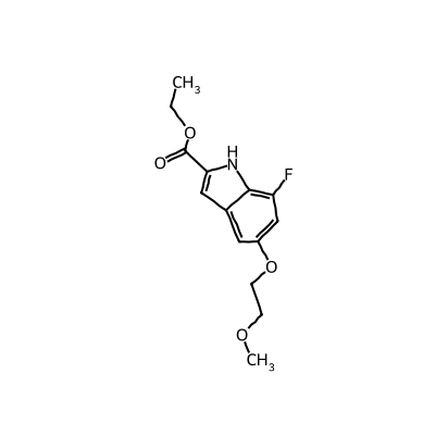 CCOC(=O)c1cc2cc(OCCOC)cc(F)c2[nH]1